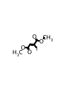 COC(=O)/C=C(\I)C(=O)OC